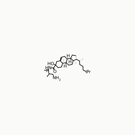 CC(C)CCC[C@@H](C)[C@H]1CC[C@H]2[C@@H]3CC=C4CC(O)(C(=O)NN(C)C(C)CN)CC[C@]4(C)[C@H]3CC[C@]12C